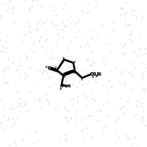 CCCCCC1=C(CC(=O)OCC)CCC1=O